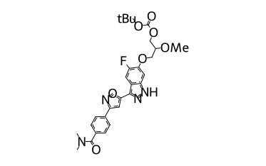 COC(COC(=O)OC(C)(C)C)COc1cc2[nH]nc(-c3cc(-c4ccc(C(=O)N(C)C)cc4)no3)c2cc1F